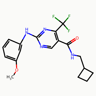 COc1cccc(Nc2ncc(C(=O)NCC3CCC3)c(C(F)(F)F)n2)c1